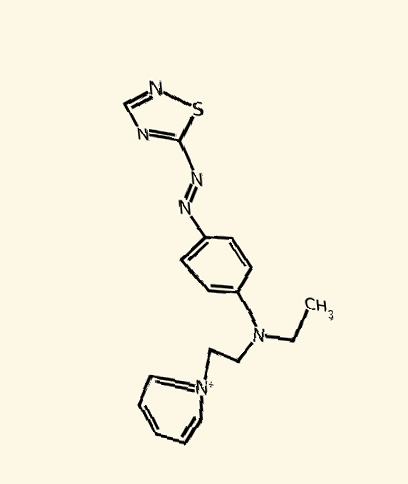 CCN(CC[n+]1ccccc1)c1ccc(/N=N/c2ncns2)cc1